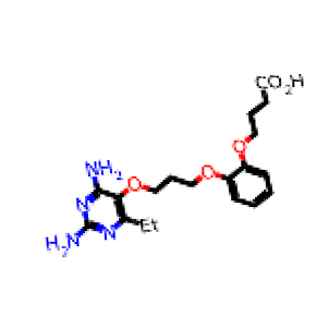 CCc1nc(N)nc(N)c1OCCCOc1ccccc1OCCCC(=O)O